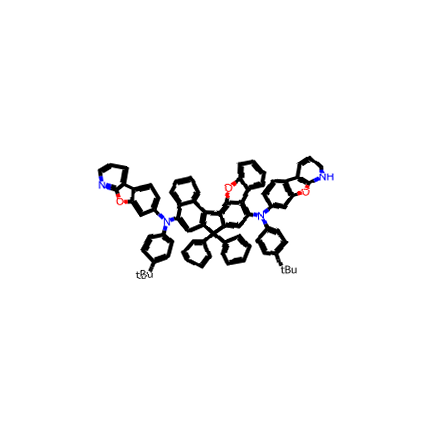 CC(C)(C)c1ccc(N(c2ccc3c(c2)oc2ncccc23)c2cc3c(c4ccccc24)-c2c(cc(N(c4ccc(C(C)(C)C)cc4)c4ccc5c6c(oc5c4)NCC=C6)c4c2oc2ccccc24)C3(c2ccccc2)c2ccccc2)cc1